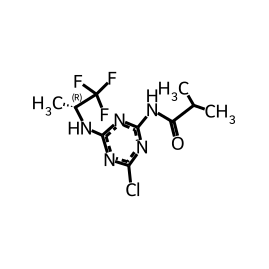 CC(C)C(=O)Nc1nc(Cl)nc(N[C@H](C)C(F)(F)F)n1